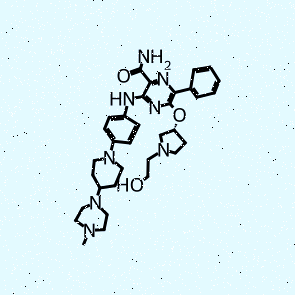 CN1CCN(C2CCN(c3ccc(Nc4nc(O[C@@H]5CCN(CCO)C5)c(-c5ccccc5)nc4C(N)=O)cc3)CC2)CC1